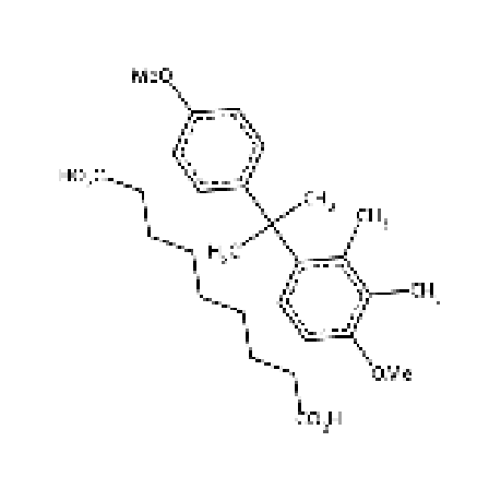 COc1ccc(C(C)(C)c2ccc(OC)c(C)c2C)cc1.O=C(O)CCCCCCCC(=O)O